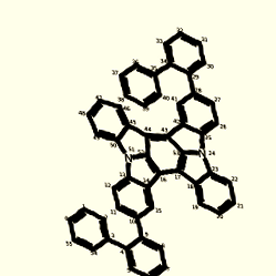 c1ccc(-c2ccccc2-c2ccc3c(c2)c2c4c5ccccc5n5c6ccc(-c7ccccc7-c7ccccc7)cc6c(c6c7ccccc7n3c62)c45)cc1